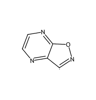 [c]1noc2nccnc12